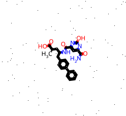 C[C@H](CC(Cc1ccc(-c2ccccc2)cc1)NC(=O)c1cc(C(N)=O)nc(O)n1)C(=O)O